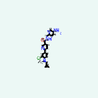 CC(=O)N(CC1CC1)c1ccc(-c2ccc(C(=O)NCc3ccc(N)cn3)cn2)cc1Cl